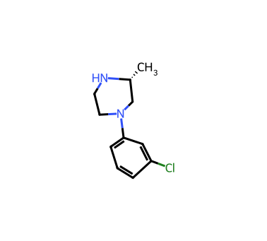 C[C@@H]1CN(c2cccc(Cl)c2)CCN1